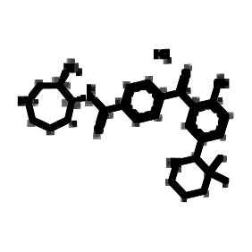 CC1(C)CCCNC1c1ccc(O)c(C(=O)c2ccc(C(=O)N[C@@H]3CCCNC[C@H]3N)cc2)c1.Cl